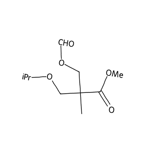 COC(=O)C(C)(COC=O)COC(C)C